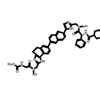 CCCN(Cc1nc2c([nH]1)-c1ccc(-c3ccc4cc(-c5cnc(CN(CCC)C(=O)[C@H](NC(=O)C6CCOCC6)c6ccccc6)[nH]5)ccc4c3)cc1CC2)C(=O)CNC(=O)OC